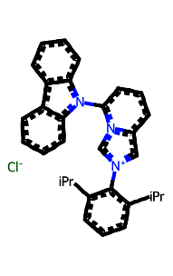 CC(C)c1cccc(C(C)C)c1-[n+]1cc2cccc(-n3c4ccccc4c4ccccc43)n2c1.[Cl-]